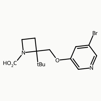 CC(C)(C)C1(COc2cncc(Br)c2)CCN1C(=O)O